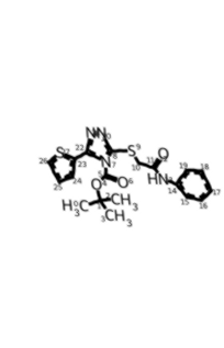 CC(C)(C)OC(=O)n1c(SCC(=O)Nc2ccccc2)nnc1-c1cccs1